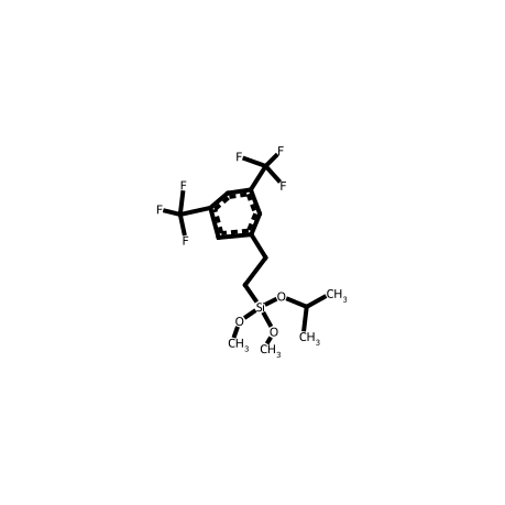 CO[Si](CCc1cc(C(F)(F)F)cc(C(F)(F)F)c1)(OC)OC(C)C